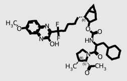 COc1ccc2nc(C(F)(F)CCCC[C@H]3C(OC(=O)NC(CC4CCCCC4)C(=O)N4CC[C@@H](C)[C@H]4C(C)=O)CC4CC43)c(O)nc2c1